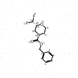 O=C(OCc1ccccc1)N1CCO[C@@H](C(F)F)C1